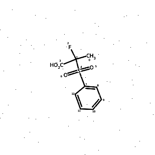 CC(F)(C(=O)O)S(=O)(=O)c1ccccc1